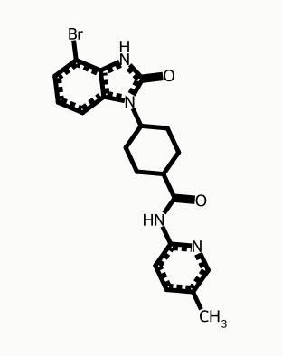 Cc1ccc(NC(=O)C2CCC(n3c(=O)[nH]c4c(Br)cccc43)CC2)nc1